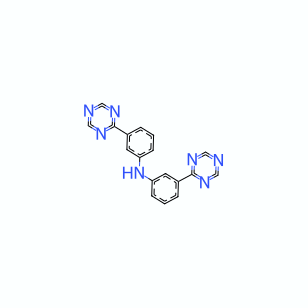 c1cc(Nc2cccc(-c3ncncn3)c2)cc(-c2ncncn2)c1